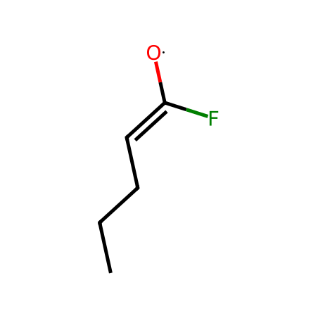 CCCC=C([O])F